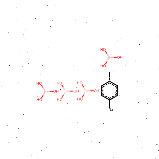 Cc1cc[c]([Na])cc1.OB(O)O.OB(O)O.OB(O)O.OB(O)O